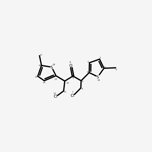 Cc1ccc(C(CCl)C(=O)C(CCl)c2ccc(C)s2)s1